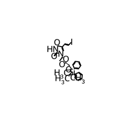 CC(C)(C)[Si](OC[C@H]1OC[C@@H](n2cc(/C=C/I)c(=O)[nH]c2=O)O1)(c1ccccc1)c1ccccc1